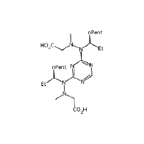 CCCCCC(CC)N(c1ncnc(N(C(CC)CCCCC)N(C)CC(=O)O)n1)N(C)CC(=O)O